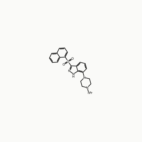 CCCN1CCN(c2cccc3c(S(=O)(=O)c4cccc5ccccc45)n[nH]c23)CC1